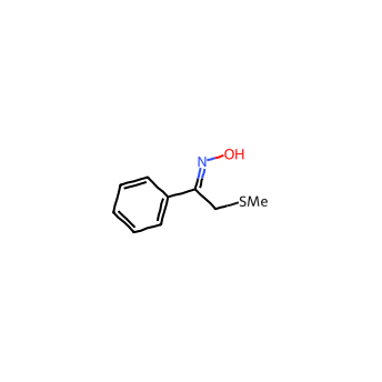 CSCC(=NO)c1ccccc1